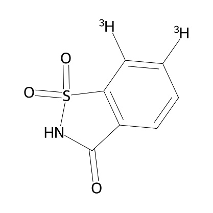 [3H]c1ccc2c(c1[3H])S(=O)(=O)NC2=O